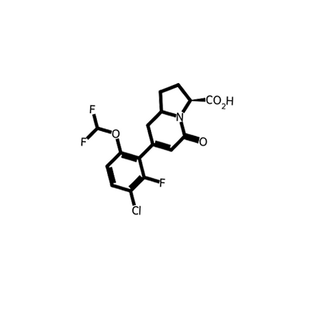 O=C(O)[C@@H]1CCC2CC(c3c(OC(F)F)ccc(Cl)c3F)=CC(=O)N21